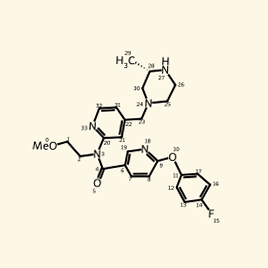 COCCN(C(=O)c1ccc(Oc2ccc(F)cc2)nc1)c1cc(CN2CCN[C@@H](C)C2)ccn1